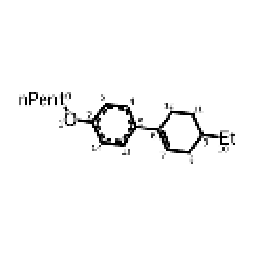 CCCCCOc1ccc(C2=CCC(CC)CC2)cc1